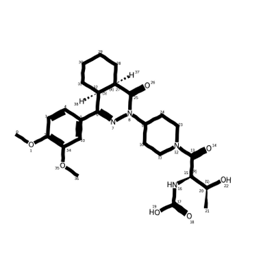 COc1ccc(C2=NN(C3CCN(C(=O)[C@H](NC(=O)O)[C@H](C)O)CC3)C(=O)[C@@H]3CCCC[C@H]23)cc1OC